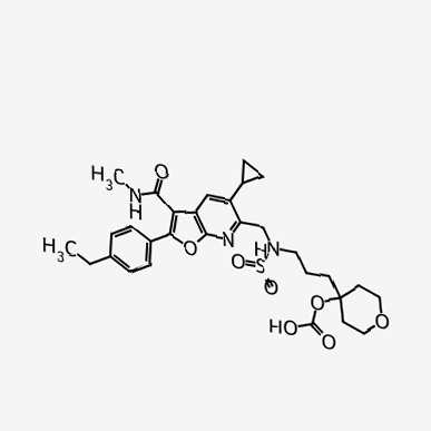 CCc1ccc(-c2oc3nc(CN(CCCC4(OC(=O)O)CCOCC4)[SH](=O)=O)c(C4CC4)cc3c2C(=O)NC)cc1